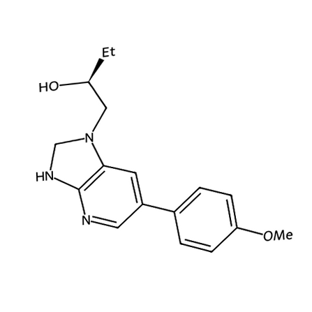 CC[C@H](O)CN1CNc2ncc(-c3ccc(OC)cc3)cc21